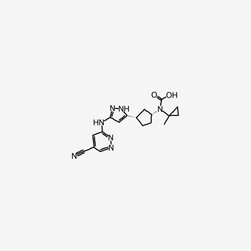 CC1(N(C(=O)O)[C@@H]2CC[C@H](c3cc(Nc4cc(C#N)cnn4)n[nH]3)C2)CC1